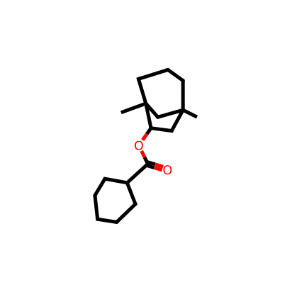 CC12CCCC(C)(C1)C(OC(=O)C1CCCCC1)C2